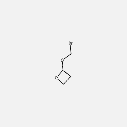 BrCOC1CCO1